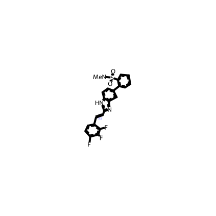 CNS(=O)(=O)c1ccccc1-c1ccc2[nH]c(/C=C/c3ccc(F)c(F)c3F)nc2c1